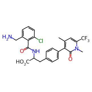 Cc1cc(C(F)(F)F)n(C)c(=O)c1-c1ccc(CC(NC(=O)c2c(Cl)cccc2CN)C(=O)O)cc1